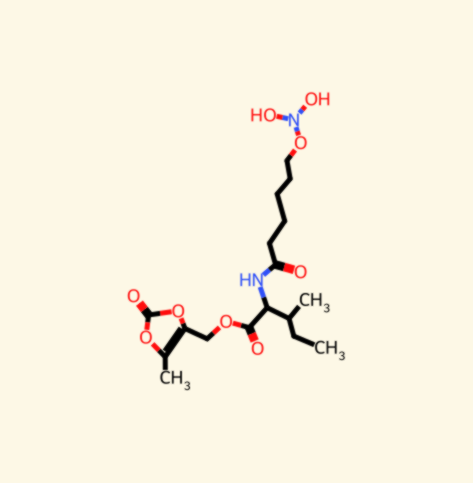 CCC(C)C(NC(=O)CCCCCON(O)O)C(=O)OCc1oc(=O)oc1C